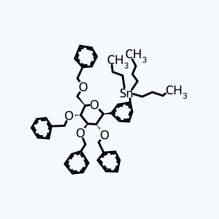 CCC[CH2][Sn]([CH2]CCC)([CH2]CCC)[c]1cccc([C@@H]2O[C@H](COCc3ccccc3)[C@@H](OCc3ccccc3)[C@H](OCc3ccccc3)[C@H]2OCc2ccccc2)c1